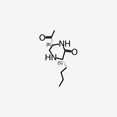 CCCC[C@@H]1NC[C@H](C(C)=O)NC1=O